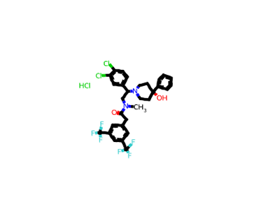 CN(CC(c1ccc(Cl)c(Cl)c1)N1CCC(O)(c2ccccc2)CC1)C(=O)Cc1cc(C(F)(F)F)cc(C(F)(F)F)c1.Cl